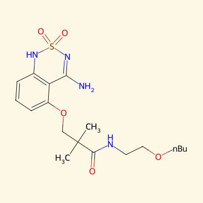 CCCCOCCNC(=O)C(C)(C)COc1cccc2c1C(N)=NS(=O)(=O)N2